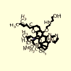 COC(=O)/C(C)=C\CC12OC(C)(C)C3CC(C1=O)C1C4=C(Nc5nccn51)c1c(OCCNCCO)c5c(c(CC=C(C)C)c1OC432)OC(C)(CCC=C(C)C)C=C5